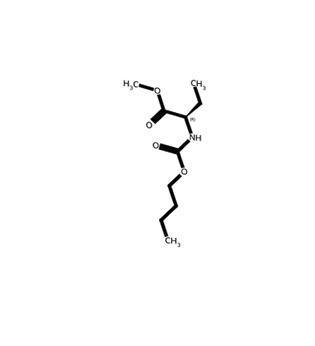 CCCCOC(=O)N[C@H](CC)C(=O)OC